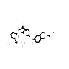 CC(C)n1c(=O)c2cnc(Nc3ccc4c(c3)CCN(C(=O)OC(C)(C)C)C4)nc2n1-c1cccc(C(C)(C)O)n1